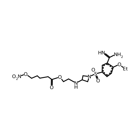 CCOc1ccc(S(=O)(=O)N2CC(NCCOC(=O)CCCCO[N+](=O)[O-])C2)cc1C(=N)N